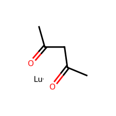 CC(=O)CC(C)=O.[Lu]